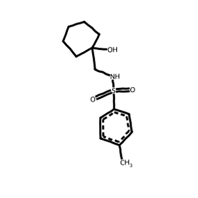 Cc1ccc(S(=O)(=O)NCC2(O)CCCCC2)cc1